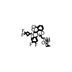 O=C(NC1CC(F)(F)C1)[C@H](c1ccccc1Cl)N(C(=O)CNS(=O)(=O)N1CC1)c1ccc(F)c(F)c1